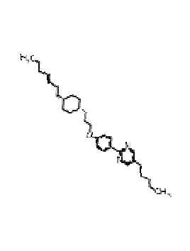 CCCCCCC[C@H]1CC[C@H](CCCOc2ccc(-c3ncc(CCCCC)cn3)cc2)CC1